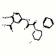 COc1ncc(NC(=O)C(=O)N2C[C@@H](C)CC[C@H]2c2ccccc2)cc1C(N)=O